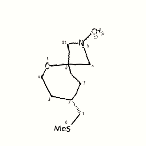 CSC[C@@H]1CCOC2(C1)CN(C)C2